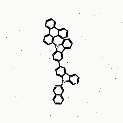 c1ccc2cc(-n3c4ccccc4c4cc(-c5ccc6c(c5)c5ccccc5n6-c5cccc6c7ccccc7c7ccccc7c56)ccc43)ccc2c1